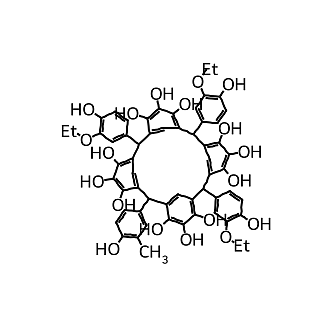 CCOc1cc(C2c3cc(c(O)c(O)c3O)C(c3ccc(O)c(C)c3)c3cc(c(O)c(O)c3O)C(c3ccc(O)c(OCC)c3)c3cc(c(O)c(O)c3O)C(c3ccc(O)c(OCC)c3)c3cc2c(O)c(O)c3O)ccc1O